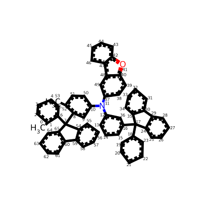 Cc1ccccc1C1(c2cc(N(c3cccc(C4(c5ccccc5)c5ccccc5-c5ccccc54)c3)c3ccc4oc5ccccc5c4c3)ccc2C)c2ccccc2-c2ccccc21